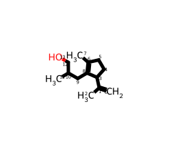 C=C(C)C1CCC(C)=C1CC(C)CO